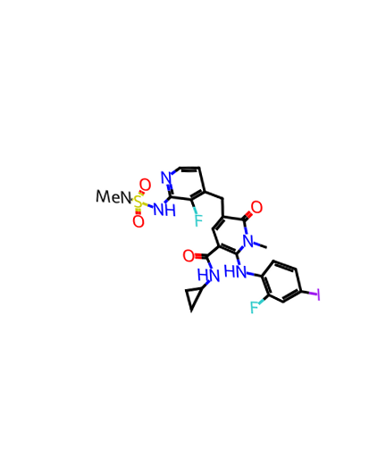 CNS(=O)(=O)Nc1nccc(Cc2cc(C(=O)NC3CC3)c(Nc3ccc(I)cc3F)n(C)c2=O)c1F